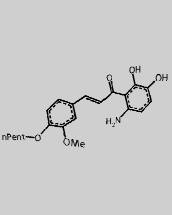 CCCCCOc1ccc(C=CC(=O)c2c(N)ccc(O)c2O)cc1OC